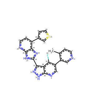 Cc1ccncc1-c1cnc2[nH]nc(-c3nc4c(-c5ccsc5)ccnc4[nH]3)c2c1F